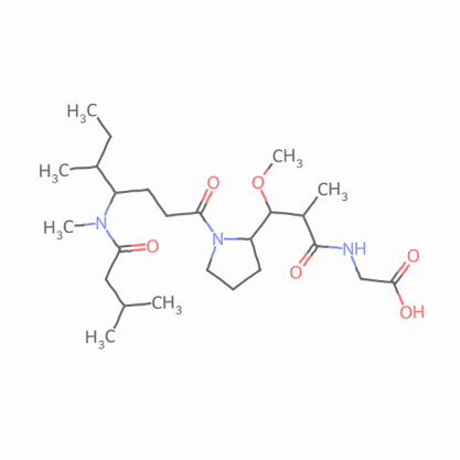 CCC(C)C(CCC(=O)N1CCCC1C(OC)C(C)C(=O)NCC(=O)O)N(C)C(=O)CC(C)C